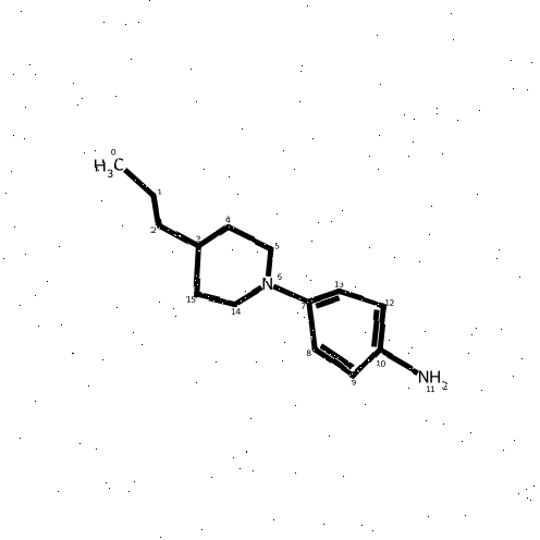 CCCC1CCN(c2ccc(N)cc2)CC1